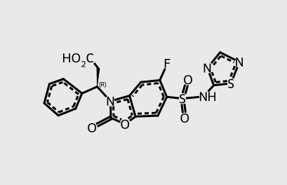 O=C(O)C[C@H](c1ccccc1)n1c(=O)oc2cc(S(=O)(=O)Nc3ncns3)c(F)cc21